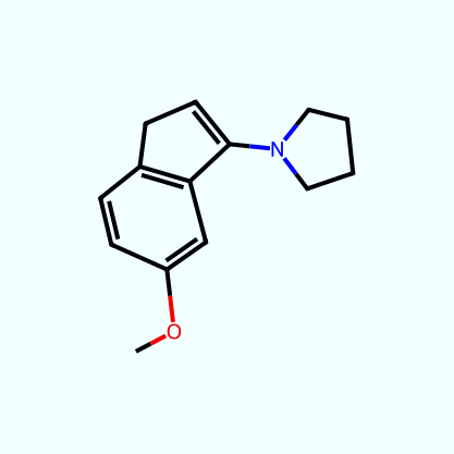 COc1ccc2c(c1)C(N1CCCC1)=CC2